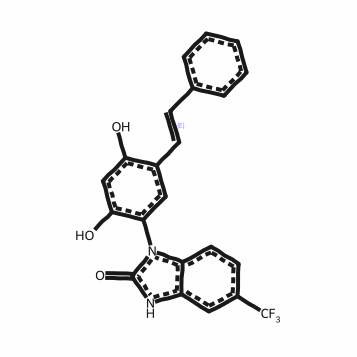 O=c1[nH]c2cc(C(F)(F)F)ccc2n1-c1cc(/C=C/c2ccccc2)c(O)cc1O